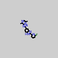 Cc1ncc(C)n2nc(-c3ccc4[nH]c(-c5cccc(F)n5)nc4c3)nc12